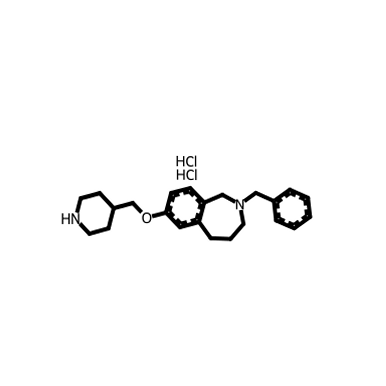 Cl.Cl.c1ccc(CN2CCCc3cc(OCC4CCNCC4)ccc3C2)cc1